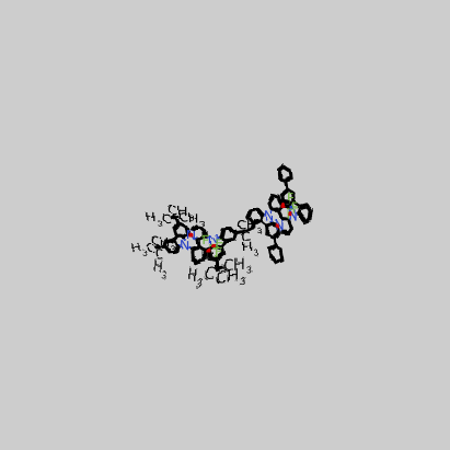 CC(C)(C)c1ccc2c(c1)c1cc(C(C)(C)Cc3cccc4c3c3cc(-c5ccccc5)ccc3n4-c3cccc(C(F)(F)F)c3-c3ncccc3-n3c4ccccc4c4cc(-c5ccccc5)ccc43)ccc1n2-c1cccnc1-c1c(-n2c3ccc(C(C)(C)C)cc3c3cc(C(C)(C)C)ccc32)cccc1C(F)(F)F